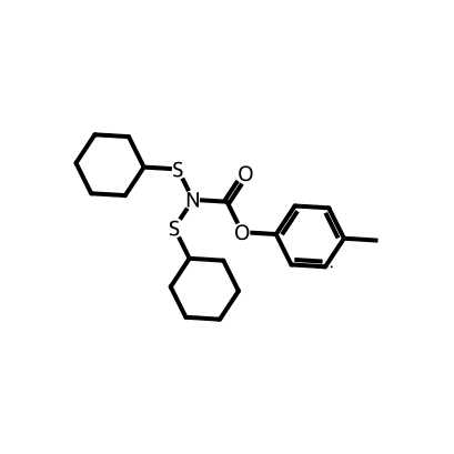 Cc1[c]cc(OC(=O)N(SC2CCCCC2)SC2CCCCC2)cc1